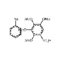 COc1cc(S(=O)(=O)O)c(OC)c(OC)c1OC.[Na][c]1ccccc1